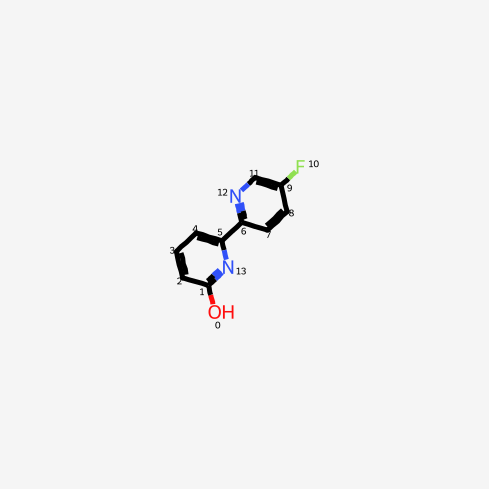 Oc1cccc(-c2ccc(F)cn2)n1